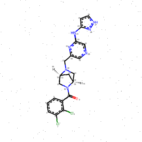 O=C(c1cccc(Cl)c1Cl)N1C[C@@H]2C[C@H]1CN2Cc1cncc(Nc2cc[nH]n2)n1